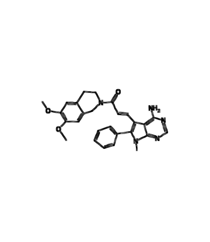 COc1cc2c(cc1OC)CN(C(=O)/C=C/c1c(-c3ccccc3)n(C)c3ncnc(N)c13)CC2